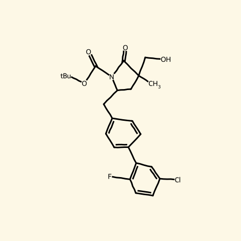 CC(C)(C)OC(=O)N1C(=O)C(C)(CO)CC1Cc1ccc(-c2cc(Cl)ccc2F)cc1